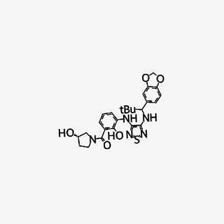 CC(C)(C)C(Nc1nsnc1Nc1cccc(C(=O)N2CC[C@@H](O)C2)c1O)c1ccc2c(c1)OCO2